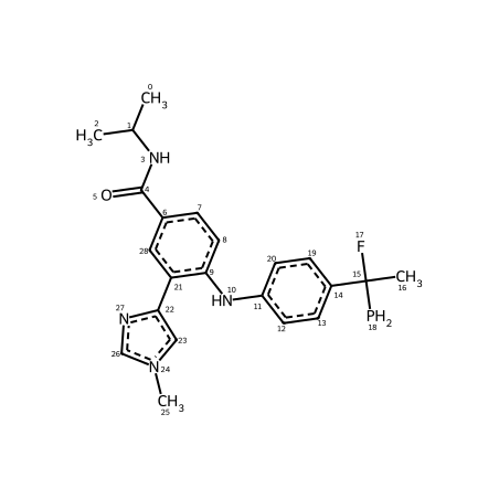 CC(C)NC(=O)c1ccc(Nc2ccc(C(C)(F)P)cc2)c(-c2cn(C)cn2)c1